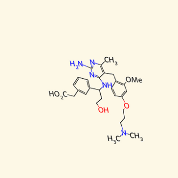 COc1cc(OCCCN(C)C)ccc1Cc1c(C)nc(N)nc1NC(CCO)c1cccc(CC(=O)O)c1